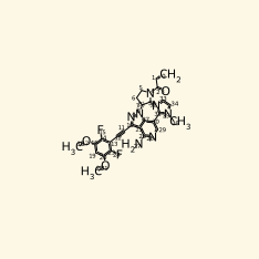 C=CC(=O)N1CC[C@H](n2nc(C#Cc3c(F)c(OC)cc(OC)c3F)c3c(N)ncc(-c4nccn4C)c32)C1